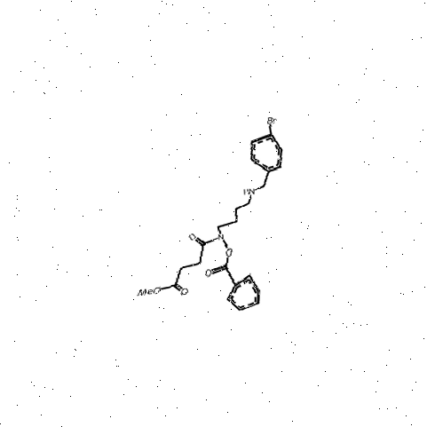 COC(=O)CCC(=O)N(CCCCNCc1ccc(Br)cc1)OC(=O)c1ccccc1